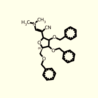 CN(C)C=C(C#N)C1O[C@H](COCc2ccccc2)C(OCc2ccccc2)C1OCc1ccccc1